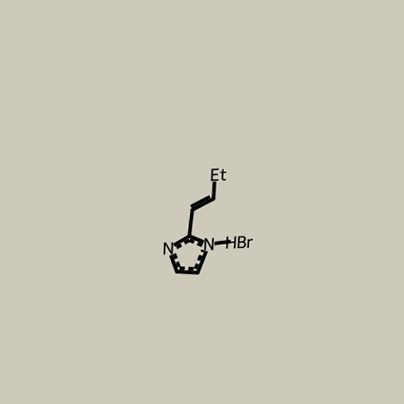 Br.CCC=Cc1nccn1C